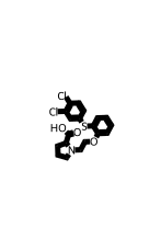 O=C(O)C1CCCN1CCOc1ccccc1Sc1ccc(Cl)c(Cl)c1